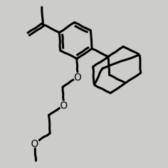 C=C(C)c1ccc(C23CC4CC(CC(C4)C2)C3)c(OCOCCOC)c1